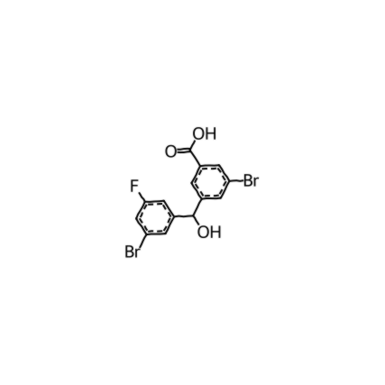 O=C(O)c1cc(Br)cc(C(O)c2cc(F)cc(Br)c2)c1